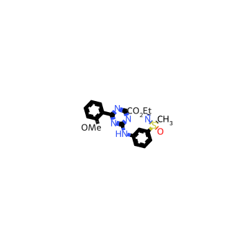 CCOC(=O)N=S(C)(=O)c1cccc(Nc2ncnc(-c3ccccc3OC)n2)c1